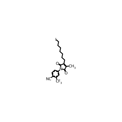 CC1=C(CCCCCCCI)C(=O)N(c2ccc(C#N)c(C(F)(F)F)c2)C1=O